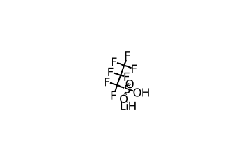 O=S(=O)(O)C(F)(F)C(F)(F)C(F)(F)F.[LiH]